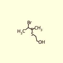 CC(Br)[C@@H](C)SCCO